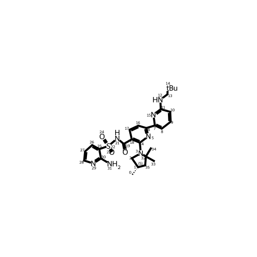 C[C@@H]1CN(c2nc(-c3cccc(NCC(C)(C)C)n3)ccc2C(=O)NS(=O)(=O)c2cccnc2N)C(C)(C)C1